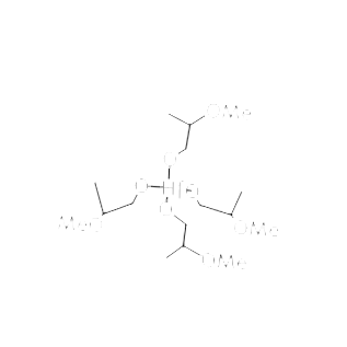 COC(C)C[O][Hf]([O]CC(C)OC)([O]CC(C)OC)[O]CC(C)OC